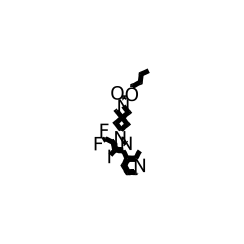 CCCCOC(=O)N1CC2(CC(n3nc(-c4cccnc4C)c(I)c3C(F)F)C2)C1